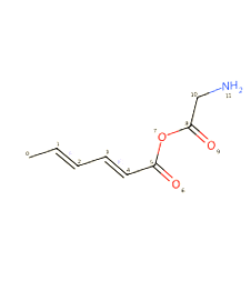 C/C=C/C=C/C(=O)OC(=O)CN